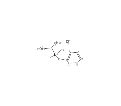 CCCCCCCCCC(CCCCCCCC)[N+](C)(C)Cc1ccccc1.[Cl-]